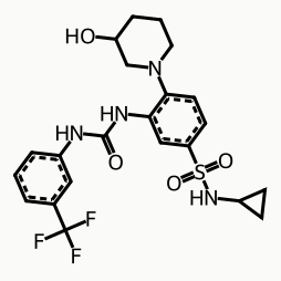 O=C(Nc1cccc(C(F)(F)F)c1)Nc1cc(S(=O)(=O)NC2CC2)ccc1N1CCCC(O)C1